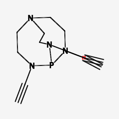 C#CN1CCN2CCN(C#C)P1N(C#C)CC2